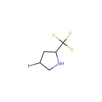 FC(F)(F)C1CC(I)CN1